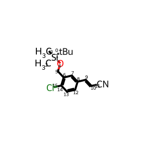 CC(C)(C)[Si](C)(C)OCc1cc(C=CC#N)ccc1Cl